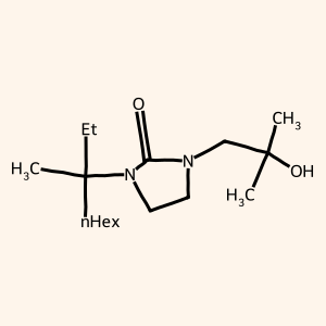 CCCCCCC(C)(CC)N1CCN(CC(C)(C)O)C1=O